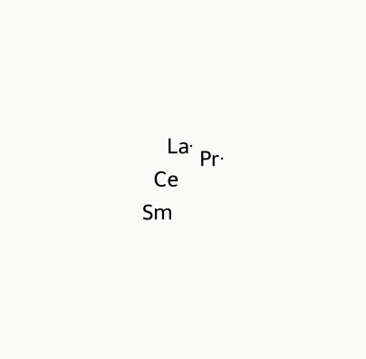 [Ce].[La].[Pr].[Sm]